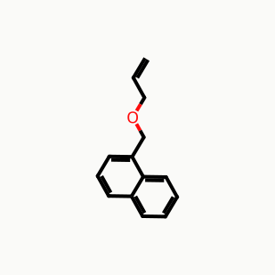 C=CCOCc1cccc2ccccc12